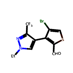 CCn1cc(-c2c(Br)csc2C=O)c(C(F)(F)F)n1